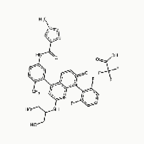 Cc1ccc(NC(=O)c2cn(C)cn2)cc1-c1nc(NC(CO)CO)nc2c1ccc(=O)n2-c1c(F)cccc1F.O=C(O)C(F)(F)F